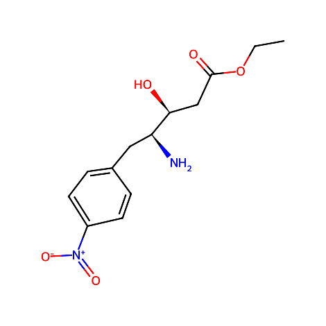 CCOC(=O)C[C@H](O)[C@@H](N)Cc1ccc([N+](=O)[O-])cc1